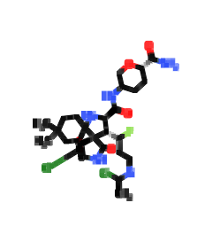 C=C(Cl)/N=C\C=C(/F)[C@H]1[C@H](C(=O)N[C@@H]2CC[C@@H](C(N)=O)OC2)NC2(CCC(C)(C)CC2)[C@@]12C(=O)Nc1cc(Cl)ccc12